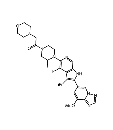 COc1cc(-c2[nH]c3cnc(N4CCN(C(=O)CN5CCOCC5)CC4C)c(F)c3c2C(C)C)cn2ncnc12